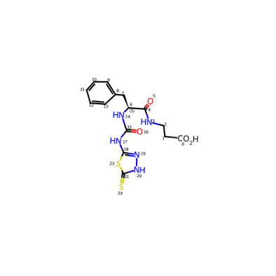 O=C(O)CCNC(=O)[C@H](Cc1ccccc1)NC(=O)Nc1n[nH]c(=S)s1